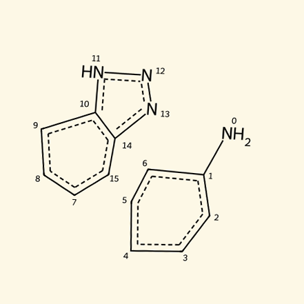 Nc1ccccc1.c1ccc2[nH]nnc2c1